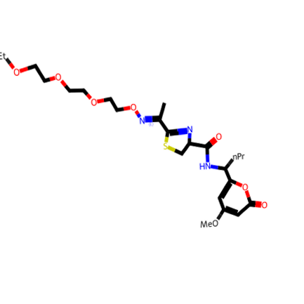 CCCC(NC(=O)C1CSC(/C(C)=N/OCCOCCOCCOCC)=N1)c1cc(OC)cc(=O)o1